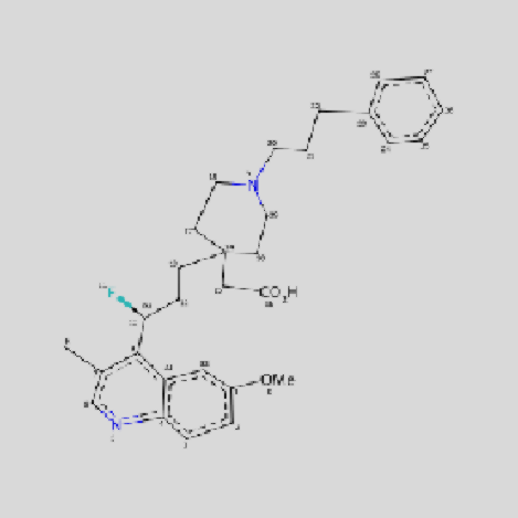 COc1ccc2ncc(C)c([C@@H](F)CCC3(CC(=O)O)CCN(CCCc4ccccc4)CC3)c2c1